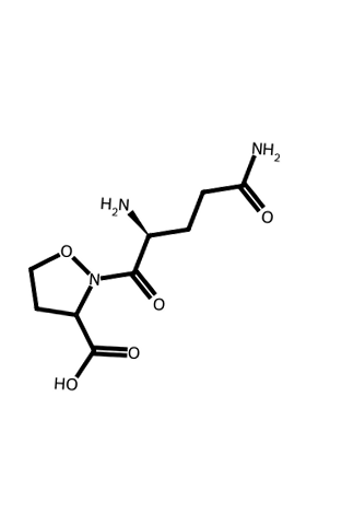 NC(=O)CC[C@H](N)C(=O)N1OCCC1C(=O)O